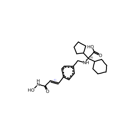 O=C(/C=C/c1ccc(CN[C@@](C(=O)O)(C2CCCCC2)C2CCCC2)cc1)NO